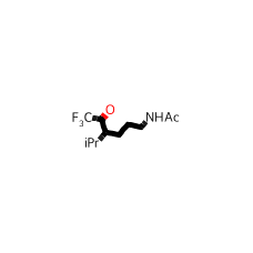 CC(=O)NCCCC(C(=O)C(F)(F)F)C(C)C